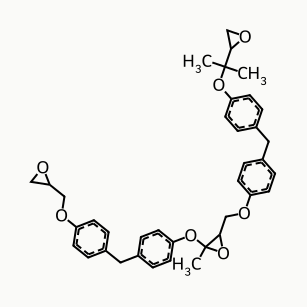 CC(C)(Oc1ccc(Cc2ccc(OCC3OC3(C)Oc3ccc(Cc4ccc(OCC5CO5)cc4)cc3)cc2)cc1)C1CO1